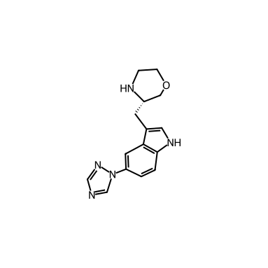 c1ncn(-c2ccc3[nH]cc(C[C@H]4COCCN4)c3c2)n1